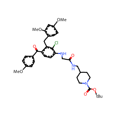 COc1ccc(C(=O)c2ccc(NCC(=O)NCC3CCN(C(=O)OC(C)(C)C)CC3)c(Cl)c2Cc2ccc(OC)cc2OC)cc1